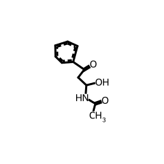 CC(=O)NC(O)CC(=O)c1ccccc1